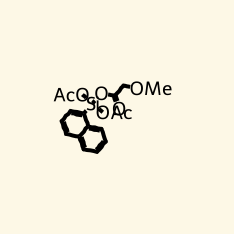 COCC(=O)O[Si](OC(C)=O)(OC(C)=O)c1cccc2ccccc12